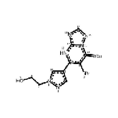 CC(C)c1c(-c2cnn(CCO)c2)[nH]c2ncnn2c1=O